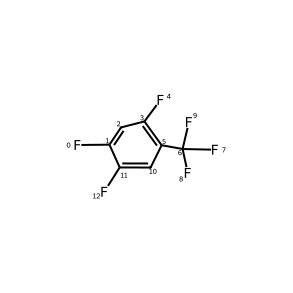 Fc1cc(F)c(C(F)(F)F)cc1F